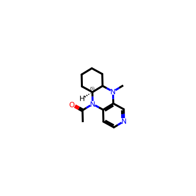 CC(=O)N1c2ccncc2N(C)C2CCCC[C@@H]21